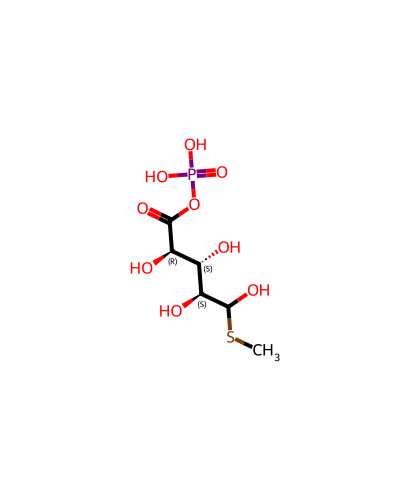 CSC(O)[C@@H](O)[C@@H](O)[C@@H](O)C(=O)OP(=O)(O)O